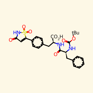 CC(C)(C)OC(=O)N[C@@H](Cc1ccccc1)C(=O)N[C@@H](Cc1ccc(C2=CC(=O)NS2(=O)=O)cc1)C(=O)O